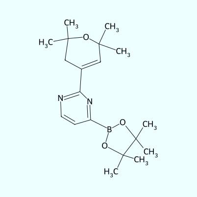 CC1(C)C=C(c2nccc(B3OC(C)(C)C(C)(C)O3)n2)CC(C)(C)O1